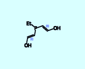 CCP(/C=C/O)/C=C/O